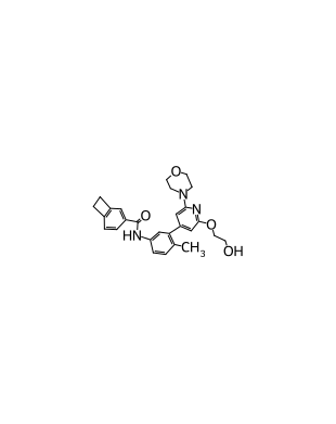 Cc1ccc(NC(=O)c2ccc3c(c2)CC3)cc1-c1cc(OCCO)nc(N2CCOCC2)c1